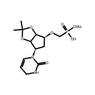 COP(=O)(O)CO[C@H]1C[C@@H](N2C=CCNC2=O)C2OC(C)(C)OC21